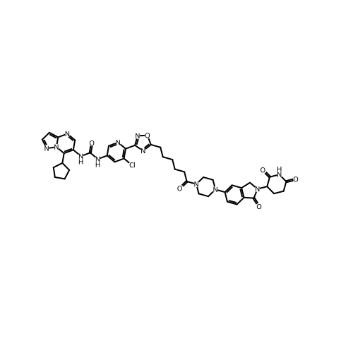 O=C1CCC(N2Cc3cc(N4CCN(C(=O)CCCCCc5nc(-c6ncc(NC(=O)Nc7cnc8ccnn8c7C7CCCC7)cc6Cl)no5)CC4)ccc3C2=O)C(=O)N1